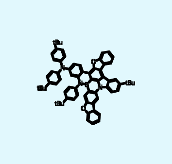 CC(C)(C)c1ccc(N2B3c4cc5oc6ccccc6c5cc4-n4c5ccc(C(C)(C)C)cc5c5c6c(oc7ccccc76)c(c3c54)-c3ccc(N(c4ccc(C(C)(C)C)cc4)c4ccc(C(C)(C)C)cc4)cc32)cc1